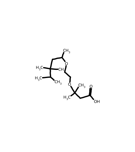 CC(CC(C)(C)C(C)C)OCCOC(C)(C)CC(=O)O